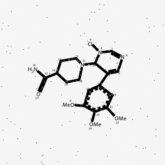 COc1cc(C2=CN=CN(Cl)C2N2CCC(C(N)=O)CC2)cc(OC)c1OC